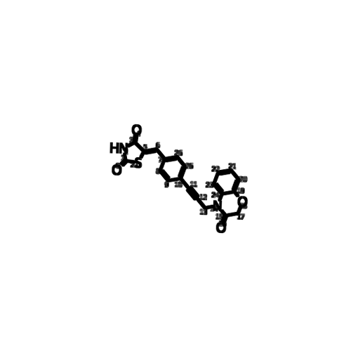 O=C1NC(=O)/C(=C/c2ccc(C#CCN3C(=O)COc4ccccc43)cc2)S1